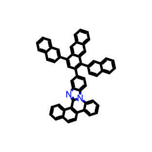 c1ccc2cc(-c3cc(-c4ccc5c(c4)nc4c6c7ccccc7ccc6c6ccccc6n54)c(-c4ccc5ccccc5c4)c4cc5ccccc5cc34)ccc2c1